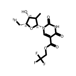 [2H]C[C@H]1O[C@@H](n2cc(C(=O)OCC(F)(F)F)c(=O)[nH]c2=O)C(C)[C@H]1O